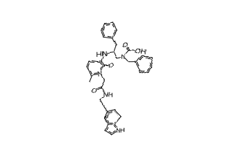 Cc1ccc(NC(Cc2ccccc2)CN(Cc2ccccc2)C(=O)O)c(=O)n1CC(=O)NCc1ccc2[nH]ccc2c1